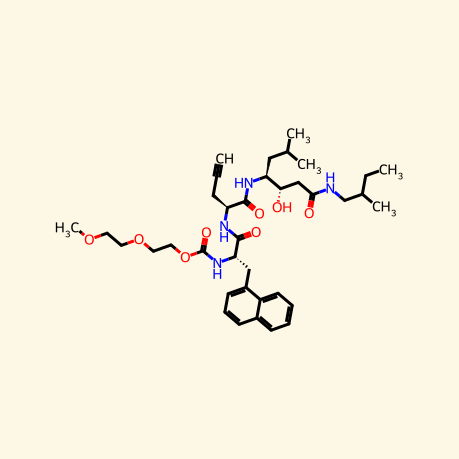 C#CC[C@H](NC(=O)[C@H](Cc1cccc2ccccc12)NC(=O)OCCOCCOC)C(=O)N[C@@H](CC(C)C)[C@@H](O)CC(=O)NCC(C)CC